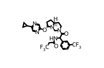 O=C(CC(F)(F)F)NC(C(=O)N1CC[C@@H]2CC[C@H](Oc3cnc(C4CC4)cn3)N2C1)c1cccc(C(F)(F)F)c1